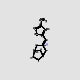 Nc1noc(/C=C2/CC3CCN(C2)C3)n1